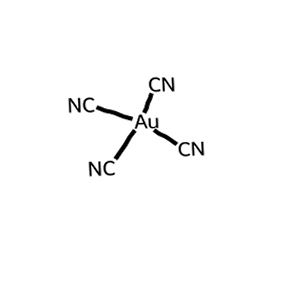 N#[C][Au]([C]#N)([C]#N)[C]#N